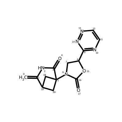 C=C1NC(=O)C2(N3CC(c4nccnn4)OC3=O)CC1C2